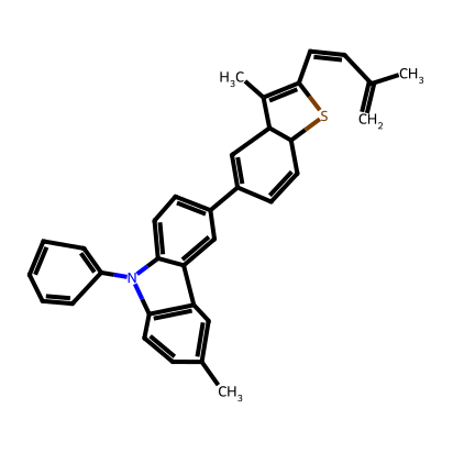 C=C(C)/C=C\C1=C(C)C2C=C(c3ccc4c(c3)c3cc(C)ccc3n4-c3ccccc3)C=CC2S1